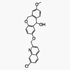 COc1ccc2c(c1)COc1ccc(OCc3ccc4ccc(Cl)cc4n3)cc1C2O